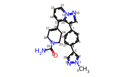 Cn1cc(-c2ccc(-c3cnn4cccc(C5=CCN(C(N)=O)CC5)c34)cc2)cn1